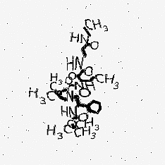 CCCNC(=O)CCNC(=O)C(=O)C(CCC)NC(=O)[C@@H]1C2C(CN1C(=O)C(NC(=O)OC(C)(C)C)C1CCCCC1)C2(C)C